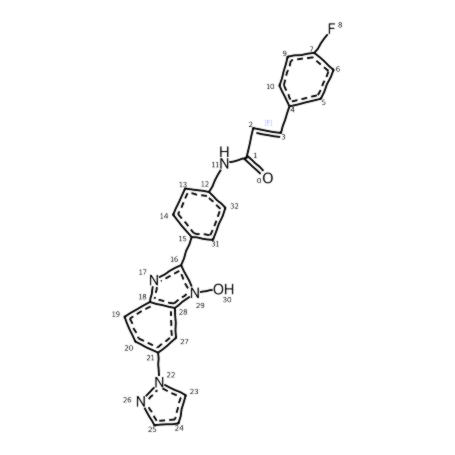 O=C(/C=C/c1ccc(F)cc1)Nc1ccc(-c2nc3ccc(-n4cccn4)cc3n2O)cc1